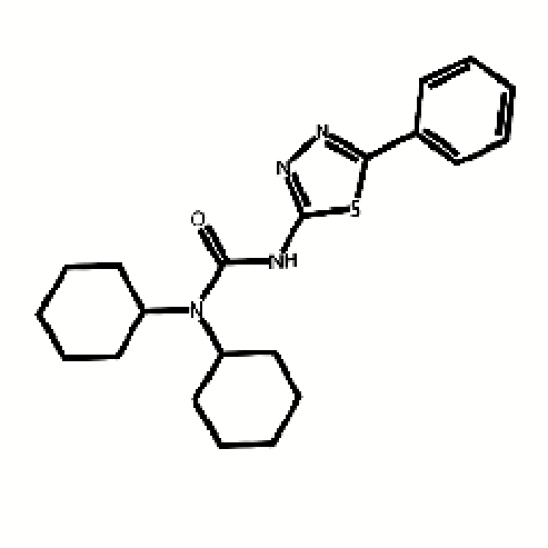 O=C(Nc1nnc(-c2ccccc2)s1)N(C1CCCCC1)C1CCCCC1